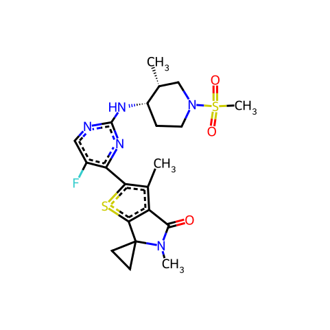 Cc1c(-c2nc(N[C@H]3CCN(S(C)(=O)=O)C[C@H]3C)ncc2F)sc2c1C(=O)N(C)C21CC1